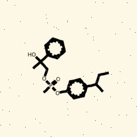 CCC(C)c1ccc(OP(C)(=O)OCC(C)(O)c2ccccc2)cc1